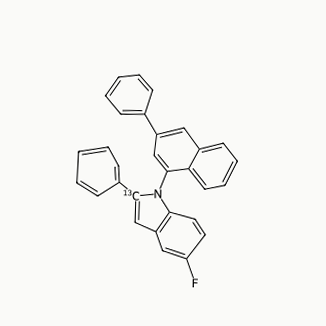 Fc1ccc2c(c1)c[13c](-c1ccccc1)n2-c1cc(-c2ccccc2)cc2ccccc12